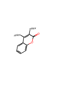 CCCCCCc1c(CCCCCC)c2ccccc2oc1=O